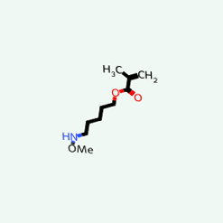 C=C(C)C(=O)OCCCCCNOC